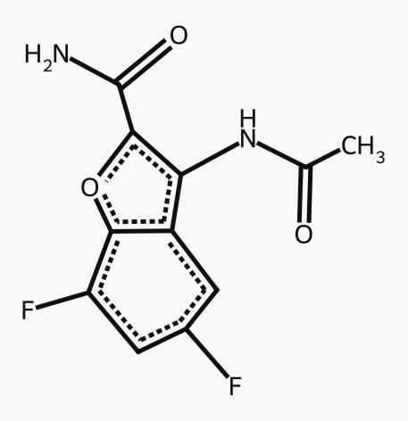 CC(=O)Nc1c(C(N)=O)oc2c(F)cc(F)cc12